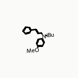 CCC(C)N(C/C=C/c1ccccc1)c1ccc(OC)cc1